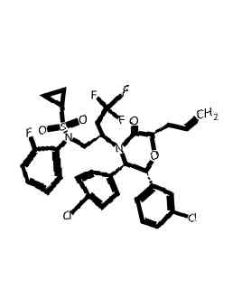 C=CC[C@H]1O[C@H](c2cccc(Cl)c2)[C@@H](c2ccc(Cl)cc2)N([C@@H](CN(c2ccccc2F)S(=O)(=O)C2CC2)CC(F)(F)F)C1=O